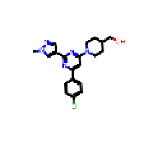 Cn1cc(-c2nc(-c3ccc(Cl)cc3)cc(N3CCC(CO)CC3)n2)cn1